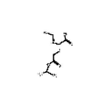 CC(C)NC(=O)CC[C@H](NCO)C(=O)O